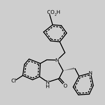 O=C(O)c1ccc(CN2Cc3ccc(Cl)cc3NC(=O)[C@H]2Cc2ccccn2)cc1